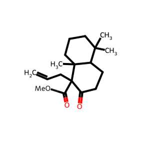 C=CCC1(C(=O)OC)C(=O)CCC2C(C)(C)CCCC21C